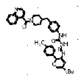 Cc1ccc(C2OC=C(C(C)(C)C)C=C2N=NNC(=O)Nc2ccc(CC3CCN(C(=O)c4ccnc5ccccc45)CC3)cc2)cc1